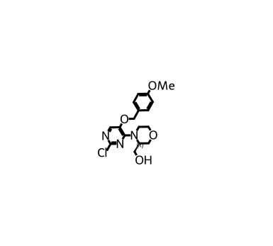 COc1ccc(COc2cnc(Cl)nc2N2CCOC[C@H]2CO)cc1